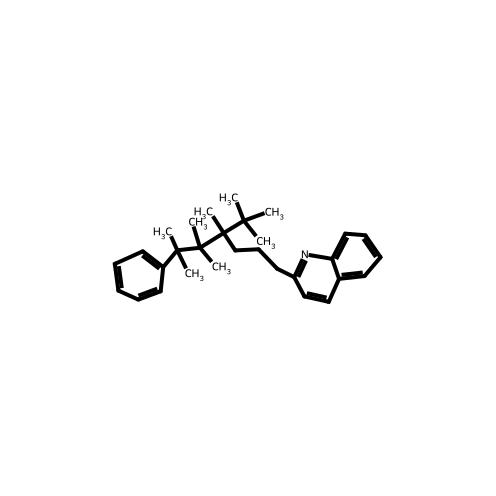 CC(C)(C)C(C)(CCCc1ccc2ccccc2n1)C(C)(C)C(C)(C)c1ccccc1